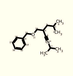 CC(C)CC(C#[N+]C(C)C)COCc1ccccc1